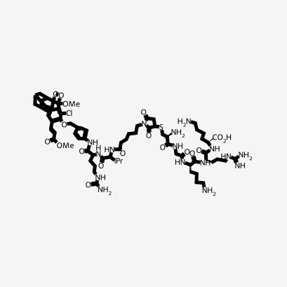 COC(=O)/C=C/c1ccc(C2(OC)OOC23C2CC4CC(C2)CC3C4)c(Cl)c1OCc1ccc(NC(=O)C(CCCNC(N)=O)NC(=O)C(NC(=O)CCCCCN2C(=O)CC(SC[C@@H](N)C(=O)NCC(=O)N[C@H](CCCCN)C(=O)N[C@H](CCCNC(=N)N)C(=O)N[C@H](CCCCN)C(=O)O)C2=O)C(C)C)cc1